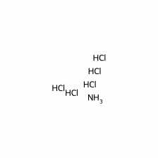 Cl.Cl.Cl.Cl.Cl.N